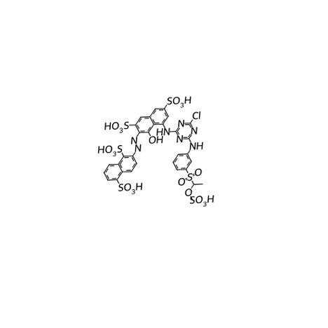 CC(OS(=O)(=O)O)S(=O)(=O)c1cccc(Nc2nc(Cl)nc(Nc3cc(S(=O)(=O)O)cc4cc(S(=O)(=O)O)c(N=Nc5ccc6c(S(=O)(=O)O)cccc6c5S(=O)(=O)O)c(O)c34)n2)c1